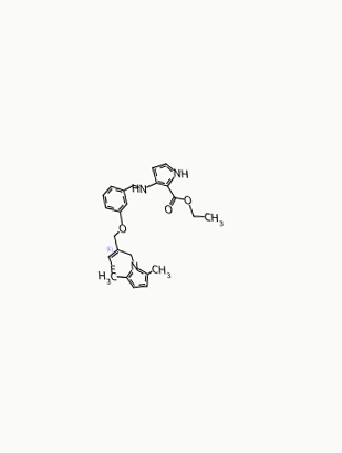 CCOC(=O)c1[nH]ccc1NCc1cccc(OC/C(=C/F)Cn2c(C)ccc2C)c1